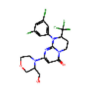 O=c1cc(N2CCOCC2CO)nc2n1CCC(C(F)(F)F)N2c1cc(F)cc(F)c1